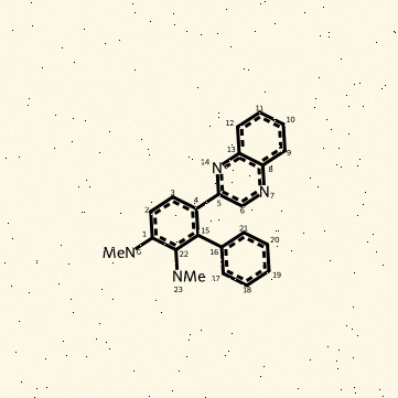 CNc1ccc(-c2cnc3ccccc3n2)c(-c2ccccc2)c1NC